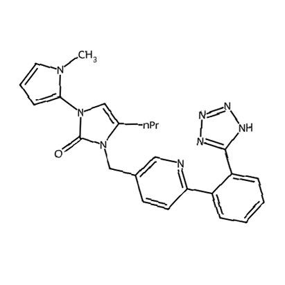 CCCc1cn(-c2cccn2C)c(=O)n1Cc1ccc(-c2ccccc2-c2nnn[nH]2)nc1